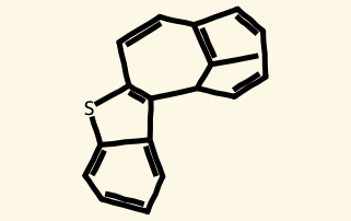 CC1=C2C=CC=CC1c1c(sc3ccccc13)C=C2